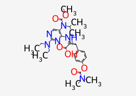 CCN(CC)c1ncc(N(C(=O)OC)C(C)C)c(N[C@@H](Cc2ccc(OC(=O)N(C)C)cc2)C(=O)O)n1